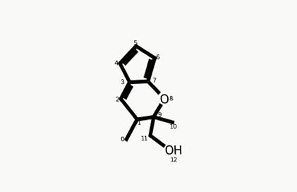 CC1C=C2C=CC=C2OC1(C)CO